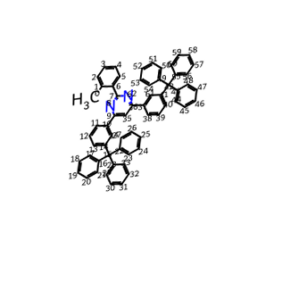 Cc1ccccc1-c1nc(-c2cccc(C(c3ccccc3)(c3ccccc3)c3ccccc3)c2)cc(-c2cccc(C(c3ccccc3)(c3ccccc3)c3ccccc3)c2)n1